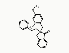 Cc1cc(OC(F)(F)F)ccc1C[N+]1(CCc2ccccn2)Cc2ccccc2C1=O